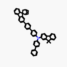 CC1(C)c2ccccc2-c2ccc(N(c3ccc(-c4ccccc4)cc3)c3ccc(-c4ccc(-c5ccc6c(c5)C5(CC7CCC5C7)c5ccccc5-6)cc4)cc3)cc21